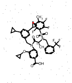 Cc1c(F)c(F)c(S(=O)(=O)N(Cc2ccccc2C(F)(F)F)[C@@H](C)C(=O)N(Cc2cc(C3CC3)cc(C3CC3)c2)c2ccc(C(=O)O)cc2OC2CC2)c(F)c1F